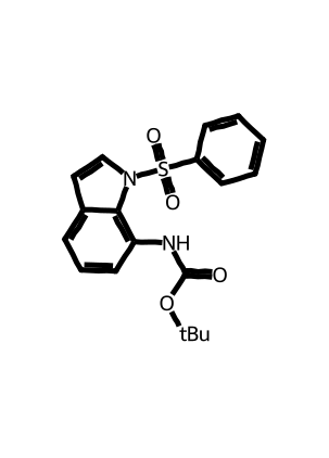 CC(C)(C)OC(=O)Nc1cccc2ccn(S(=O)(=O)c3ccccc3)c12